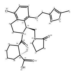 Cc1cc(COc2ccc(Cl)c3c2[C@@H](CN2CCCC2=O)N(C(=O)[C@@H]2CCCC[C@]2(C)C(=O)O)CC3)no1